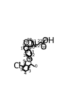 CCc1cccc(Cl)c1COc1ccc2c(c1)CCC21CN(CCC(=O)O)CCO1